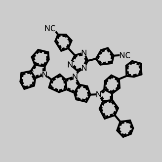 [C-]#[N+]c1ccc(-c2nc(-c3ccc(C#N)cc3)nc(-n3c4cc(-n5c6ccccc6c6ccccc65)ccc4c4ccc(-n5c6ccc(-c7ccccc7)cc6c6cc(-c7ccccc7)ccc65)cc43)n2)cc1